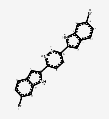 Brc1ccc2cc(-c3ccc(-c4cc5ccc(Br)cc5[nH]4)nn3)[nH]c2c1